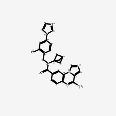 Nc1nc2ccc(C(=O)N(Cc3ccc(-n4ccnc4)cc3Cl)C34CC(C3)C4)cc2n2cncc12